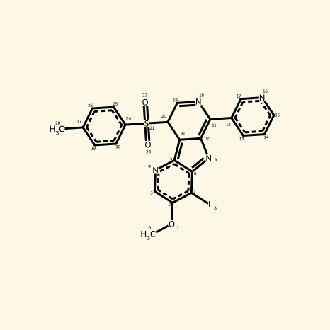 COc1cnc2c(c1I)=NC1=C(c3cccnc3)N=CC(S(=O)(=O)c3ccc(C)cc3)C=21